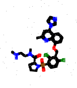 CNCCN(C)C(=O)[C@@H]1CCCN1S(=O)(=O)c1ccc(Cl)c(COc2cccc3c(-n4ccnc4)cc(C)nc23)c1Cl